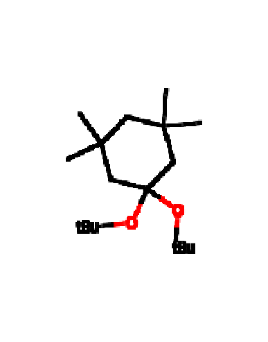 CC1(C)CC(C)(C)CC(OC(C)(C)C)(OC(C)(C)C)C1